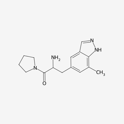 Cc1cc(CC(N)C(=O)N2CCCC2)cc2cn[nH]c12